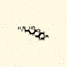 CN1C=NC(C[C@H](CCCN)C(=O)O)=CC1